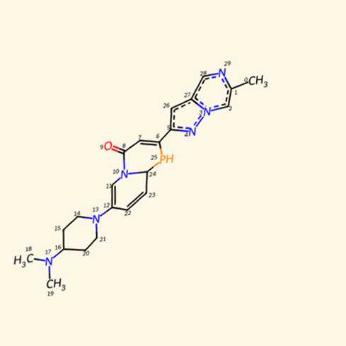 Cc1cn2nc(C3=CC(=O)N4C=C(N5CCC(N(C)C)CC5)C=CC4P3)cc2cn1